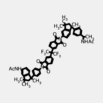 CC(=O)Nc1ccc2c(c1)C(C)(C)CC2(C)c1ccc(N2C(=O)c3ccc(C(c4ccc5c(c4)C(=O)N(c4ccc6c(c4)C(C)(C)CC6(C)c4ccc(C(C)NC(C)=O)cc4)C5=O)(C(F)(F)F)C(F)(F)F)cc3C2=O)cc1